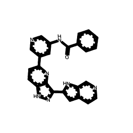 O=C(Nc1cncc(-c2ccc3[nH]nc(-c4cc5ccncc5[nH]4)c3n2)c1)c1ccccc1